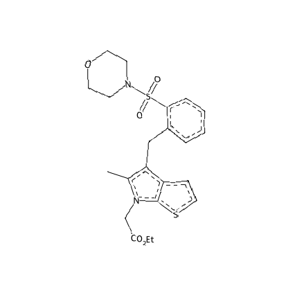 CCOC(=O)Cn1c(C)c(Cc2ccccc2S(=O)(=O)N2CCOCC2)c2ccsc21